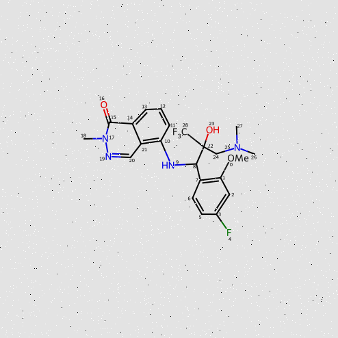 COc1cc(F)ccc1C(Nc1cccc2c(=O)n(C)ncc12)C(O)(CN(C)C)C(F)(F)F